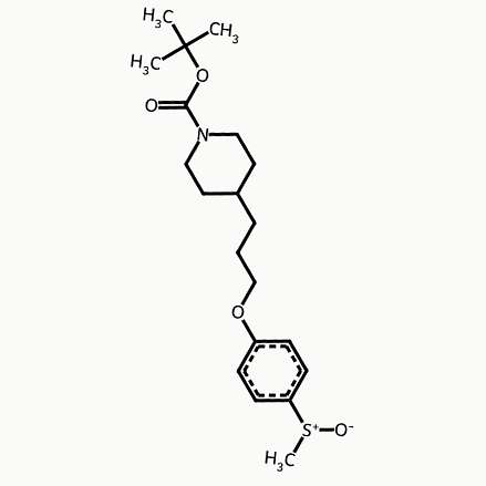 C[S+]([O-])c1ccc(OCCCC2CCN(C(=O)OC(C)(C)C)CC2)cc1